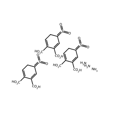 N.N.N.O=C(O)C1=CCC(=S(=O)=O)C=C1C(=O)O.O=C(O)C1=CCC(=S(=O)=O)C=C1C(=O)O.O=C(O)C1=CCC(=S(=O)=O)C=C1C(=O)O